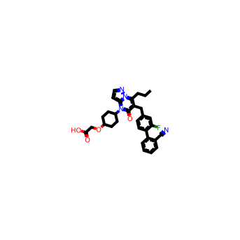 CCCc1c(Cc2ccc(-c3ccccc3C#N)c(F)c2)c(=O)n(C2CCC(OCC(=O)O)CC2)c2ccnn12